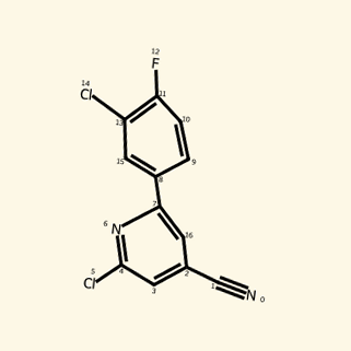 N#Cc1cc(Cl)nc(-c2ccc(F)c(Cl)c2)c1